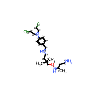 CC(CCN)NOCC(C)(C)CCNCc1ccc(N(CCCl)CCCl)cc1